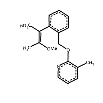 CO/C(C)=C(/C(=O)O)c1ccccc1COc1ncccc1C